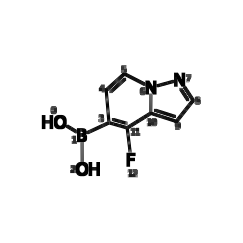 OB(O)c1ccn2nccc2c1F